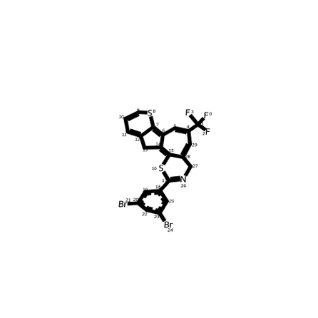 FC(F)(F)C1=CC2=C3SC=CC=C3CC2=C2SC(c3cc(Br)cc(Br)c3)=NCC2=C1